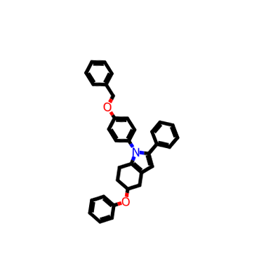 c1ccc(COc2ccc(-n3c(-c4ccccc4)cc4c3CCC(Oc3ccccc3)C4)cc2)cc1